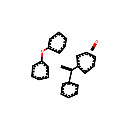 C=C(c1ccccc1)c1ccccc1.C=O.c1ccc(Oc2ccccc2)cc1